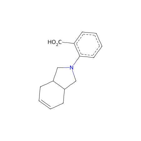 O=C(O)c1ccccc1N1CC2CC=CCC2C1